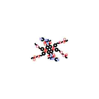 C=CC(=O)OCCOCCc1ccc(Oc2cc3c4c(cc(Oc5ccc(CCOCCC)cc5)c5c6c(Oc7ccc(CCOCCOC(=O)C=C)cc7)cc7c8c(cc(Oc9ccc(CCOCCOC(=O)C=C)cc9)c(c2c45)c86)C(=O)N(C(C(=O)Nc2ccncc2)C(C)CC)C7=O)C(=O)N(C(C(=O)Nc2ccncc2)C(C)CC)C3=O)cc1